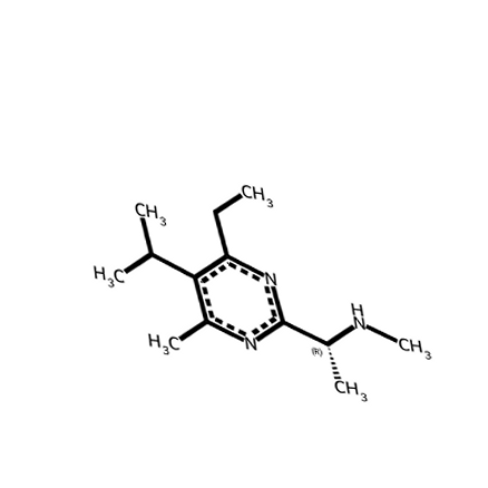 CCc1nc([C@@H](C)NC)nc(C)c1C(C)C